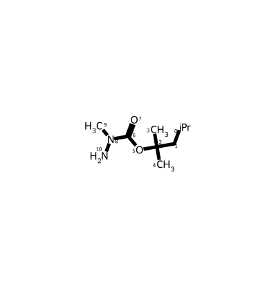 CC(C)CC(C)(C)OC(=O)N(C)N